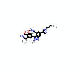 CCCCn1cc(-c2cc(C#N)c3c(-c4cc(OC)c5c(c4)[C@@H](C)CNC5=O)n(C)nc3c2)cn1